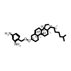 CC(C)CCC[C@@H](C)[C@H]1CC[C@H]2[C@@H]3CC=C4C[C@@H](OOCc5ccc(N)cc5N)CC[C@]4(C)[C@H]3CC[C@]12C